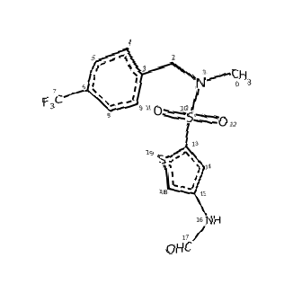 CN(Cc1ccc(C(F)(F)F)cc1)S(=O)(=O)c1cc(NC=O)cs1